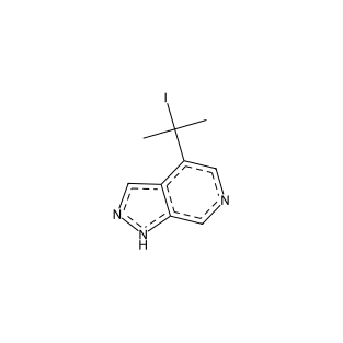 CC(C)(I)c1cncc2[nH]ncc12